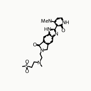 CNc1cc[nH]c(=O)c1-c1nc2cc3c(cc2[nH]1)C(=O)N(CCN(C)CCS(C)(=O)=O)C3